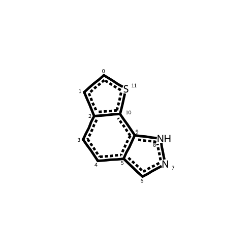 c1cc2ccc3cn[nH]c3c2s1